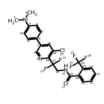 CN(C)c1ccc(-c2cnc(C(F)(F)CNC(=O)c3ccccc3C(F)(F)F)c(Cl)c2)cc1